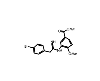 COC(=O)c1ccc(OC)c(NC(=N)Cc2ccc(Br)cc2)c1